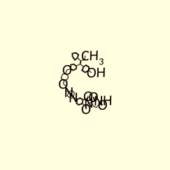 CCC(=C(c1ccc(O)cc1)c1ccc(OC2CCC(OCCN3CCN(c4ccc5c(c4)C(=O)N(C4CCC(=O)NC4=O)C5=O)CC3)CC2)cc1)c1ccccc1